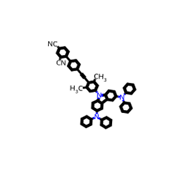 Cc1cc(-n2c3ccc(N(c4ccccc4)c4ccccc4)cc3c3cc(N(c4ccccc4)c4ccccc4)ccc32)cc(C)c1C#Cc1ccc(-c2ccc(C#N)cc2C#N)cc1